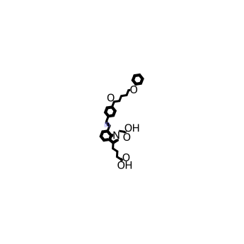 O=C(O)CCCc1cn(CC(=O)O)c2c(/C=C/c3ccc(C(=O)CCCCOc4ccccc4)cc3)cccc12